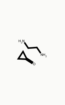 NCCN.O=C1CC1